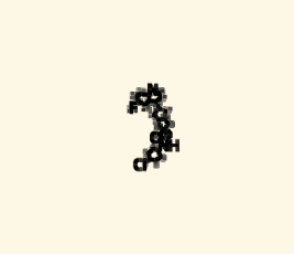 O=C(Nc1ccc(Cl)cc1)OC1CC2CC(c3ccnc4ccc(F)cc34)CC2C1